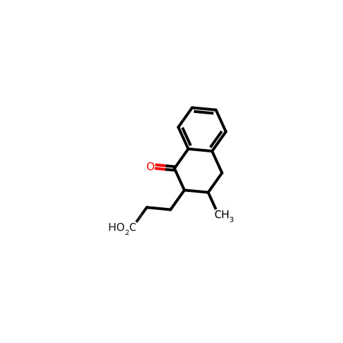 CC1Cc2ccccc2C(=O)C1CCC(=O)O